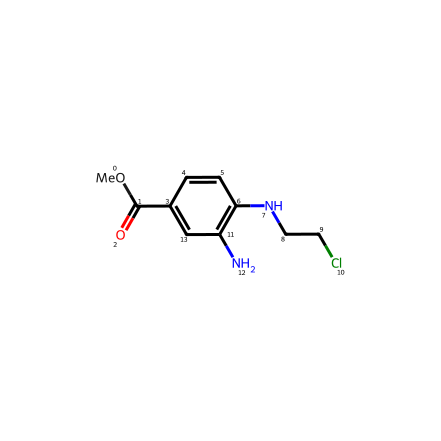 COC(=O)c1ccc(NCCCl)c(N)c1